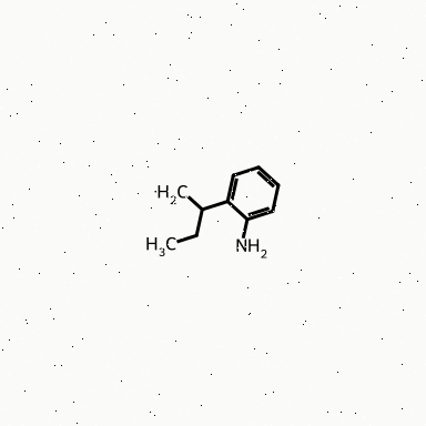 [CH2]C(CC)c1ccccc1N